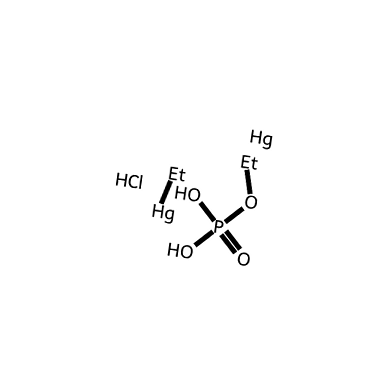 CCOP(=O)(O)O.C[CH2][Hg].Cl.[Hg]